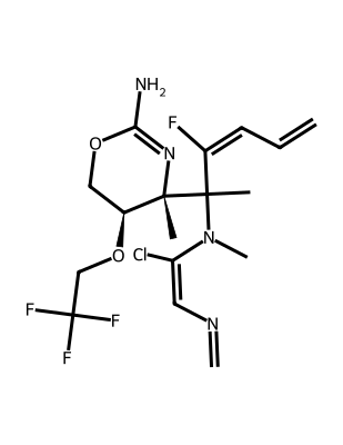 C=C/C=C(/F)C(C)(N(C)/C(Cl)=C\N=C)[C@@]1(C)N=C(N)OC[C@@H]1OCC(F)(F)F